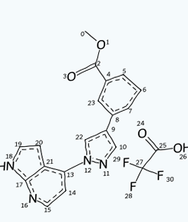 COC(=O)c1cccc(-c2cnn(-c3ccnc4[nH]ccc34)c2)c1.O=C(O)C(F)(F)F